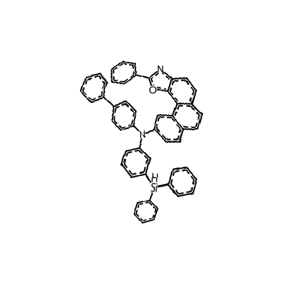 c1ccc(-c2ccc(N(c3cccc([SiH](c4ccccc4)c4ccccc4)c3)c3ccc4ccc5ccc6nc(-c7ccccc7)oc6c5c4c3)cc2)cc1